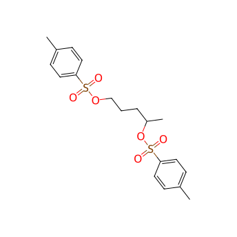 Cc1ccc(S(=O)(=O)OCCCC(C)OS(=O)(=O)c2ccc(C)cc2)cc1